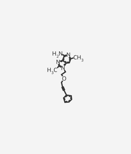 Cc1cc2c(nc(C)n2CCOCC#Cc2ccccc2)c(N)n1